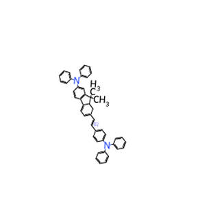 CC1(C)c2cc(N(c3ccccc3)c3ccccc3)ccc2C2=CC=C(/C=C/c3ccc(N(c4ccccc4)c4ccccc4)cc3)CC21